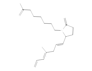 C=C/C=C(\C)C/C=C/C1CCC(=C)N1CCCCCCC(=C)C